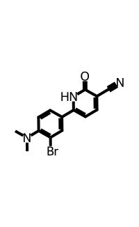 CN(C)c1ccc(-c2ccc(C#N)c(=O)[nH]2)cc1Br